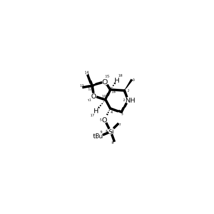 C[C@H]1NC[C@H](O[Si](C)(C)C(C)(C)C)[C@H]2OC(C)(C)O[C@H]21